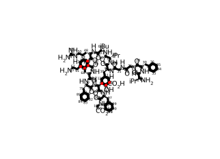 CC[C@H](C)[C@H](NC(=O)[C@@H](NC(=O)[C@H](Cc1ccc(O)cc1)NC(=O)CNC(=O)CNC(=O)[C@H](Cc1ccccc1)NC(=O)[C@@H](N)C(C)C)C(C)C)C(=O)N[C@@H](CCCNC(=N)N)C(=O)N[C@@H](CCCCN)C(=O)N[C@@H](Cc1ccccc1)C(=O)N[C@@H](Cc1ccccc1)C(=O)N[C@@H](CCC(=O)O)C(=O)N[C@@H](Cc1ccccc1)C(=O)NCC(=O)O